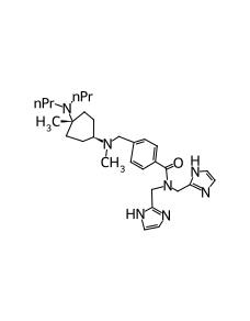 CCCN(CCC)[C@]1(C)CC[C@@H](N(C)Cc2ccc(C(=O)N(Cc3ncc[nH]3)Cc3ncc[nH]3)cc2)CC1